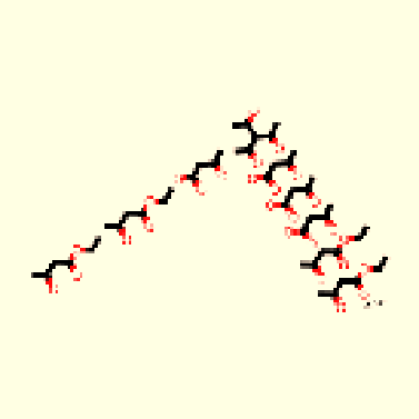 CC(=O)C(C(C)=O)C(C)=O.CC(=O)CC(=O)[O-].CC(=O)CC(=O)[O-].CC(=O)CC(=O)[O-].CC(=O)CC(=O)[O-].CCOC(=O)CC(C)=O.CCOC(=O)CC(C)=O.CCOC(=O)CC(C)=O.CCOC(=O)CC(C)=O.[Zr+4]